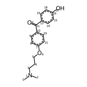 CN(C)CCCOc1ccc(C(=O)c2ccc(O)cc2)cc1